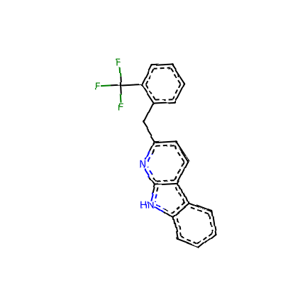 FC(F)(F)c1ccccc1Cc1ccc2c(n1)[nH]c1ccccc12